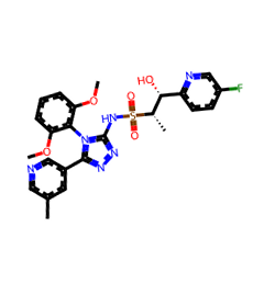 COc1cccc(OC)c1-n1c(NS(=O)(=O)[C@@H](C)[C@H](O)c2ccc(F)cn2)nnc1-c1cncc(C)c1